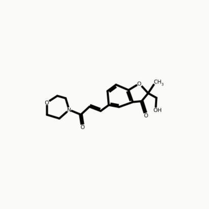 CC1(CO)Oc2ccc(C=CC(=O)N3CCOCC3)cc2C1=O